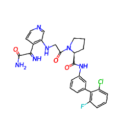 N=C(C(N)=O)c1ccncc1NCC(=O)N1CCC[C@H]1C(=O)Nc1cccc(-c2c(F)cccc2Cl)c1